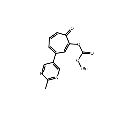 Cc1ncc(-c2cccc(=O)c(OC(=O)OC(C)(C)C)c2)cn1